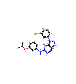 CC(C)Oc1cccc(Nc2ncc3nnn(-c4cccc(F)c4)c3n2)c1